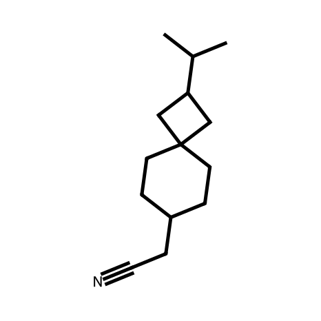 CC(C)C1CC2(CCC(CC#N)CC2)C1